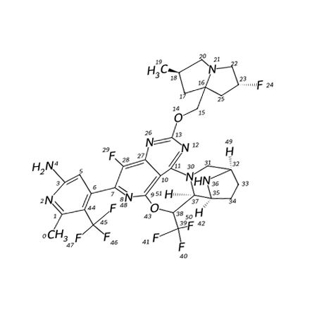 Cc1nc(N)cc(-c2nc3c4c(nc(OCC56C[C@@H](C)CN5C[C@H](F)C6)nc4c2F)N2C[C@H]4CC[C@H](N4)[C@H]2C(C(F)(F)F)O3)c1C(F)(F)F